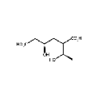 C[C@@H](O)C(C[C@@H](O)CC(=O)O)C(=O)O